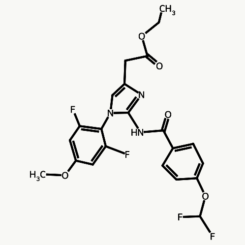 CCOC(=O)Cc1cn(-c2c(F)cc(OC)cc2F)c(NC(=O)c2ccc(OC(F)F)cc2)n1